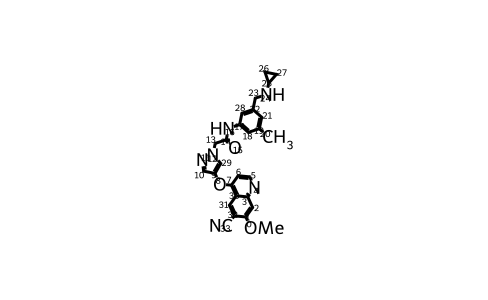 COc1cc2nccc(Oc3cnn(CC(=O)Nc4cc(C)cc(CNC5CC5)c4)c3)c2cc1C#N